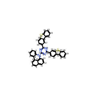 c1ccc2c(c1)-c1cccc3cccc(c13)N2c1nc(-c2ccc3c(c2)sc2ccccc23)nc(-c2ccc3sc4ccccc4c3c2)n1